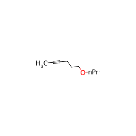 CC#CCCCO[CH]CC